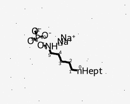 CCCCCCCCCCCCNOP(=O)([O-])[O-].[Na+].[Na+]